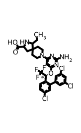 CCC1NC(C(=O)O)CC12CCN(c1cc(O[C@H](c3ccc(Cl)cc3-c3cc(Cl)cc(Cl)c3)C(F)(F)F)nc(N)n1)CC2